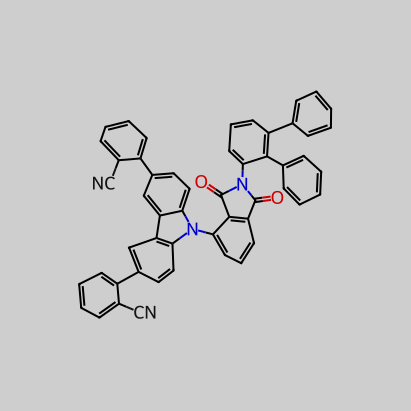 N#Cc1ccccc1-c1ccc2c(c1)c1cc(-c3ccccc3C#N)ccc1n2-c1cccc2c1C(=O)N(c1cccc(-c3ccccc3)c1-c1ccccc1)C2=O